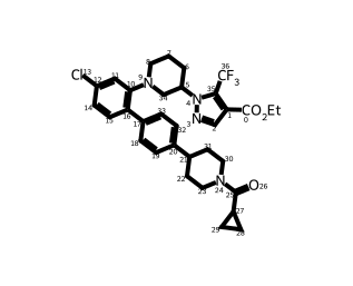 CCOC(=O)c1cnn(C2CCCN(c3cc(Cl)ccc3-c3ccc(C4CCN(C(=O)C5CC5)CC4)cc3)C2)c1C(F)(F)F